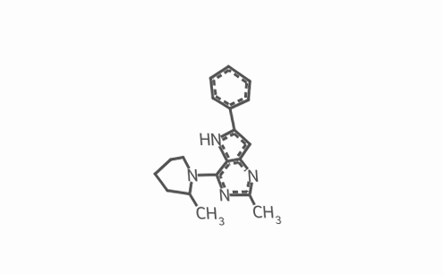 Cc1nc(N2CCCCC2C)c2[nH]c(-c3ccccc3)cc2n1